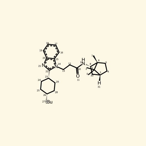 CC1(C)[C@@H]2CC[C@@]1(C)[C@@H](NC(=O)CCn1c3ccccc3nc1[C@H]1CC[C@@H](C(C)(C)C)CC1)C2